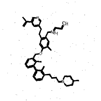 C=C(C)c1cncc(CCc2cc(OCc3cccc(-c4cccc(CCCCN5CCC(C)CC5)c4C)c3C)c(C)cc2CNCCO)c1